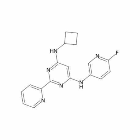 Fc1ccc(Nc2cc(NC3CCC3)nc(-c3ccccn3)n2)cn1